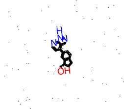 OCC1CCc2ccc(-c3ccnc4[nH]ncc34)cc21